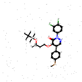 CSc1ccc(-c2cnn(-c3ccc(F)c(F)c3)c(=O)c2OCC[C@@H](C)O[Si](C)(C)C(C)(C)C)cc1